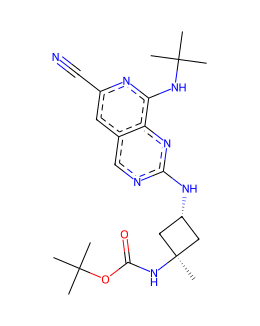 CC(C)(C)Nc1nc(C#N)cc2cnc(N[C@H]3C[C@](C)(NC(=O)OC(C)(C)C)C3)nc12